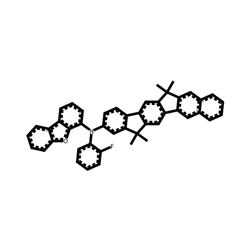 CC1(C)c2cc(N(c3ccccc3F)c3cccc4c3oc3ccccc34)ccc2-c2cc3c(cc21)-c1cc2ccccc2cc1C3(C)C